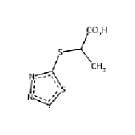 CC(Sc1nn[c]s1)C(=O)O